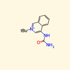 CC(C)(C)[n+]1cc(NC(N)=O)c2ccccc2c1